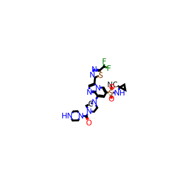 N#CC1(NS(=O)(=O)c2cc(N3CCN(C(=O)N4CCNCC4)CC3)c3ncc(-c4nnc(C(F)F)s4)n3c2)CC1